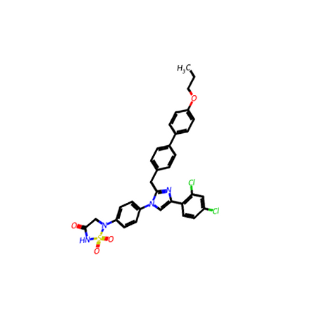 CCCOc1ccc(-c2ccc(Cc3nc(-c4ccc(Cl)cc4Cl)cn3-c3ccc(N4CC(=O)NS4(=O)=O)cc3)cc2)cc1